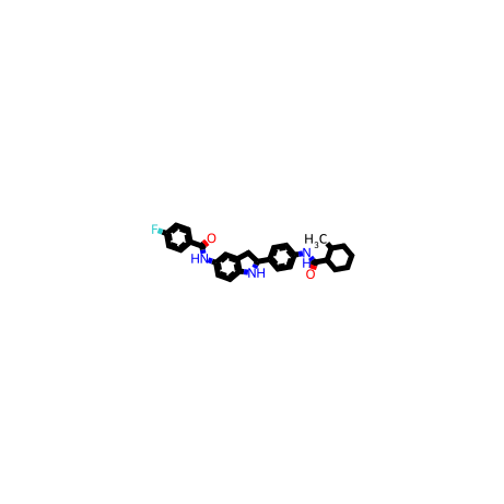 CC1CCCCC1C(=O)Nc1ccc(C2Cc3cc(NC(=O)c4ccc(F)cc4)ccc3N2)cc1